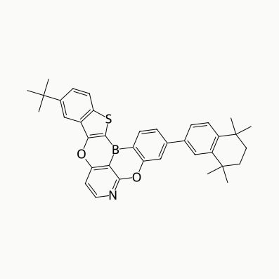 CC(C)(C)c1ccc2sc3c(c2c1)Oc1ccnc2c1B3c1ccc(-c3ccc4c(c3)C(C)(C)CCC4(C)C)cc1O2